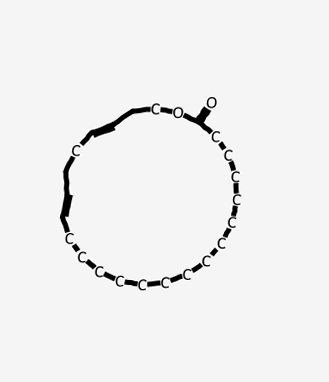 O=C1CCCCCCCCCCCCCC/C=C/CC/C=C/CCO1